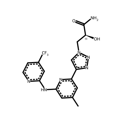 Cc1cc(Nc2cc(C(F)(F)F)ccn2)nc(-c2cn(C[C@H](O)C(N)=O)nn2)c1